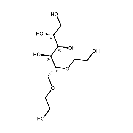 OCCOC[C@@H](OCCO)[C@@H](O)[C@H](O)[C@H](O)CO